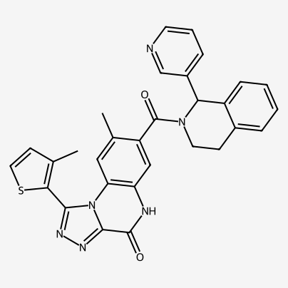 Cc1cc2c(cc1C(=O)N1CCc3ccccc3C1c1cccnc1)[nH]c(=O)c1nnc(-c3sccc3C)n12